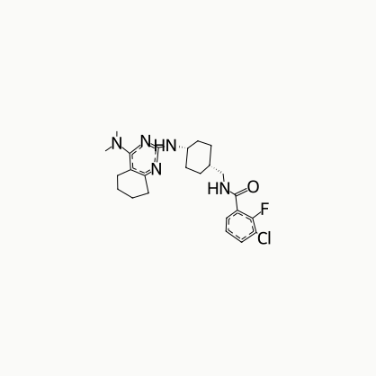 CN(C)c1nc(N[C@H]2CC[C@@H](CNC(=O)c3cccc(Cl)c3F)CC2)nc2c1CCCC2